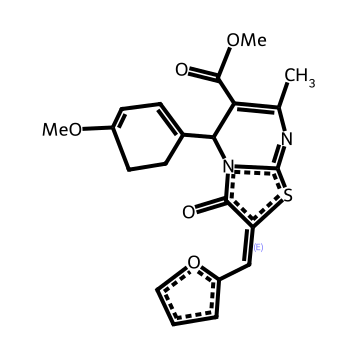 COC(=O)C1=C(C)N=c2s/c(=C/c3ccco3)c(=O)n2C1C1=CC=C(OC)CC1